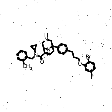 Cc1ccccc1CN(C(=O)C1=CCC2(c3ccc(CCCOc4cc(F)ccc4Br)cc3)CNCC1N2)C1CC1